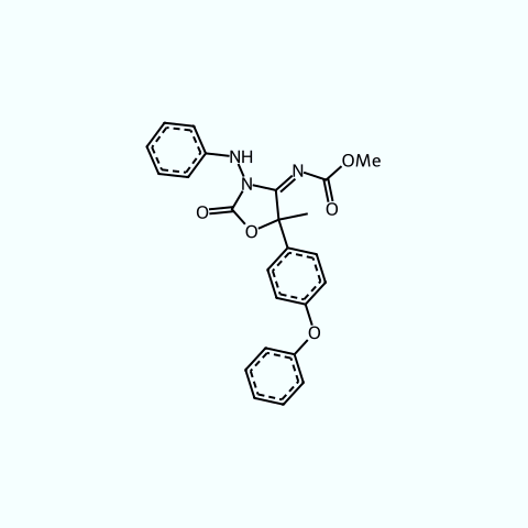 COC(=O)/N=C1/N(Nc2ccccc2)C(=O)OC1(C)c1ccc(Oc2ccccc2)cc1